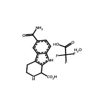 NC(=O)c1ccc2[nH]c3c(c2c1)CCNC3C(=O)O.O.O=C(O)C(F)(F)F